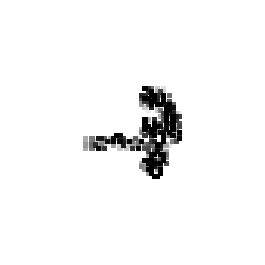 CCO[C@@H]1OC(C(=O)N2CCN(Cc3ccc4c(c3)OCO4)CC2)=C[C@H](c2ccc3c(c2)OCO3)[C@@H]1CCOCCOCCO